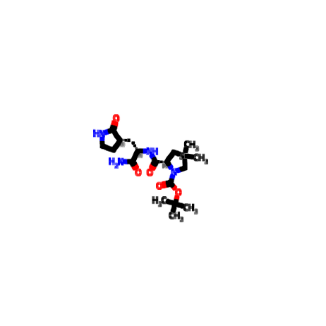 CC(C)(C)OC(=O)N1C[Si](C)(C)C[C@H]1C(=O)N[C@@H](C[C@@H]1CCNC1=O)C(N)=O